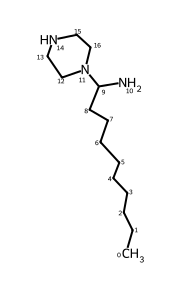 CCCCCCCCCC(N)N1CCNCC1